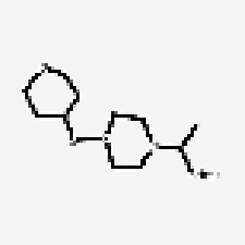 CCCCCCCC(C)N1CCN(SC2CCOCC2)CC1